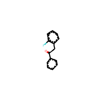 O=C(Cc1ccccc1F)c1ccccc1